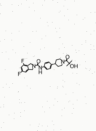 CC(C)(O)C(=O)N1CCC(c2ccc(NC(=O)N3Cc4cc(F)cc(F)c4C3)cc2)CC1